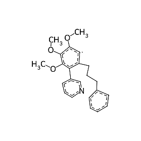 COc1[c]c(CCCc2ccccc2)c(-c2cccnc2)c(OC)c1OC